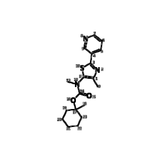 Cc1nc(-c2cccnc2)sc1N(C)C(=O)OC1(C)CCCCC1